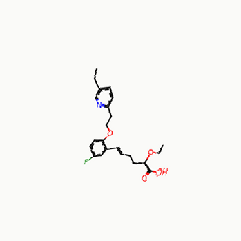 CCOC(CCC=Cc1cc(F)ccc1OCCc1ccc(CC)cn1)C(=O)O